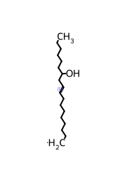 [CH2]CCCCCCC/C=C/CC(O)CCCCCC